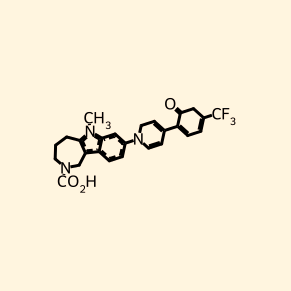 Cn1c2c(c3ccc(N4C=CC(C5=CC=C(C(F)(F)F)CC5=O)=CC4)cc31)CN(C(=O)O)CCC2